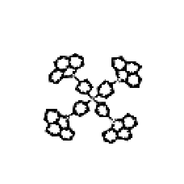 c1cc2ccc3cccc4c3c2c(c1)n4-c1ccc([Si](c2ccc(-n3c4cccc5ccc6cccc3c6c54)cc2)(c2ccc(-n3c4cccc5ccc6cccc3c6c54)cc2)c2ccc(-n3c4cccc5ccc6cccc3c6c54)cc2)cc1